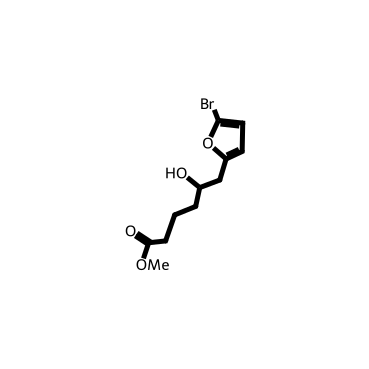 COC(=O)CCCC(O)Cc1ccc(Br)o1